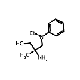 CCN(C[C@](C)(N)CO)c1ccccc1